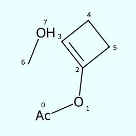 CC(=O)OC1=CCC1.CO